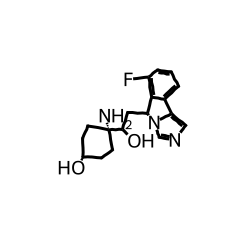 N[C@]1(C(O)CC2c3c(F)cccc3-c3cncn32)CC[C@H](O)CC1